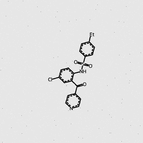 CCc1ccc(S(=O)(=O)Nc2ccc(Cl)cc2C(=O)c2ccncc2)cc1